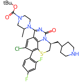 CC1CN(C(=O)OC(C)(C)C)CCN1c1nc(=O)n2c3c(c(-c4ccc(F)cc4F)c(Cl)cc13)SC[C@@H]2CC1CCNCC1